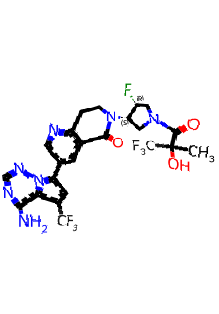 CC(O)(C(=O)N1C[C@@H](F)[C@@H](N2CCc3ncc(-c4cc(C(F)(F)F)c5c(N)ncnn45)cc3C2=O)C1)C(F)(F)F